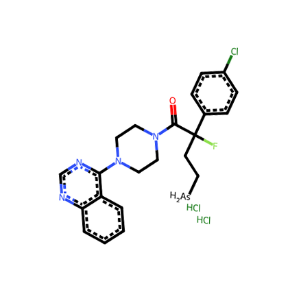 Cl.Cl.O=C(N1CCN(c2ncnc3ccccc23)CC1)C(F)(CC[AsH2])c1ccc(Cl)cc1